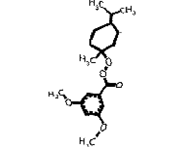 COc1cc(OC)cc(C(=O)OOC2(C)C[CH]C(C(C)C)CC2)c1